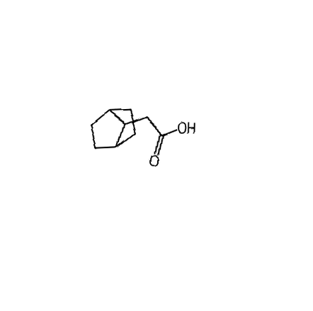 O=C(O)CC1C2CCC1CC2